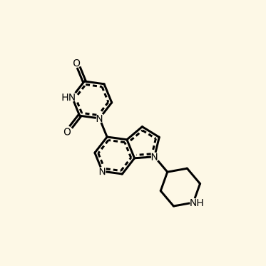 O=c1ccn(-c2cncc3c2ccn3C2CCNCC2)c(=O)[nH]1